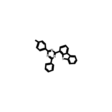 Cc1ccc(-c2nc(-c3ccccc3)nc(-c3cccc4c3sc3ccccc34)n2)cc1